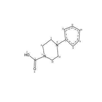 O=C(O)N1CCN(c2ccccc2)CC1